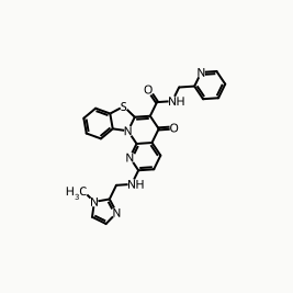 Cn1ccnc1CNc1ccc2c(=O)c(C(=O)NCc3ccccn3)c3sc4ccccc4n3c2n1